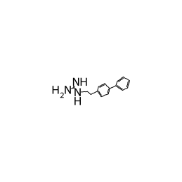 N=C(N)NCCc1ccc(-c2ccccc2)cc1